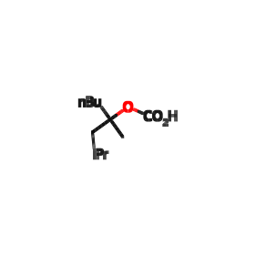 CCCCC(C)(CC(C)C)OC(=O)O